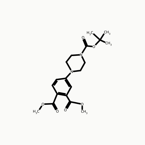 COC(=O)c1ccc(N2CCN(C(=O)OC(C)(C)C)CC2)cc1C(=O)OC